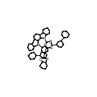 c1ccc(-c2cccc(-c3nc(-c4cccc(-c5ccccc5)c4)nc(-n4c5ccccc5c5ccc6c7ccccc7n(-c7cccc(-c8nc9ccccc9o8)c7)c6c54)n3)c2)cc1